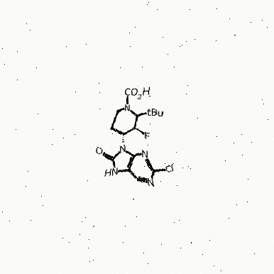 CC(C)(C)C1[C@@H](F)[C@H](n2c(=O)[nH]c3cnc(Cl)nc32)CCN1C(=O)O